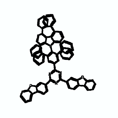 c1ccc(-c2cc(-c3nc(-c4ccc5c(c4)oc4ccccc45)nc(-c4ccc5c(c4)oc4ccccc45)n3)cc(-c3ccccc3)c2-n2c3c(-c4ccccc4)ccc(-c4ccccc4)c3c3c(-c4ccccc4)ccc(-c4ccccc4)c32)cc1